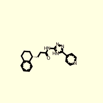 O=C(CC[C@H]1CCCc2ccccc21)Nc1nnc(-c2ccncc2)[nH]1